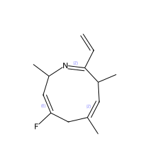 C=C/C1=N/C(C)/C=C(/F)C/C(C)=C\C1C